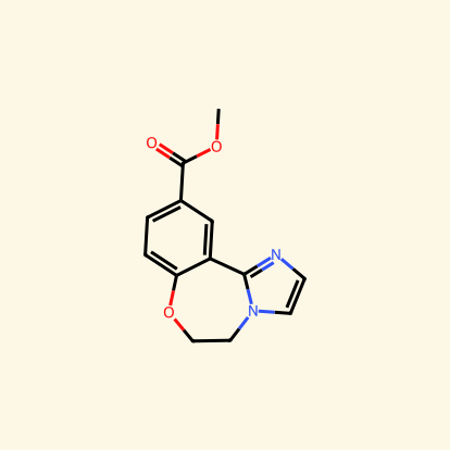 COC(=O)c1ccc2c(c1)-c1nccn1CCO2